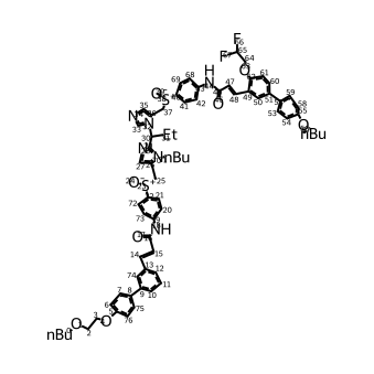 CCCCOCCOc1ccc(-c2cccc(/C=C/C(=O)Nc3ccc([S+]([O-])Cc4cnc(C(CC)n5cncc5C[S+]([O-])c5ccc(NC(=O)/C=C/c6cc(-c7ccc(OCCCC)cc7)ccc6OCC(F)F)cc5)n4CCCC)cc3)c2)cc1